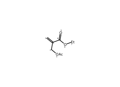 C=C(COC(C)=O)C(=O)OCC